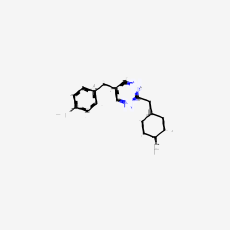 CCc1ccc(Cc2cnc(CC3CCC(CC)CC3)nc2)cc1